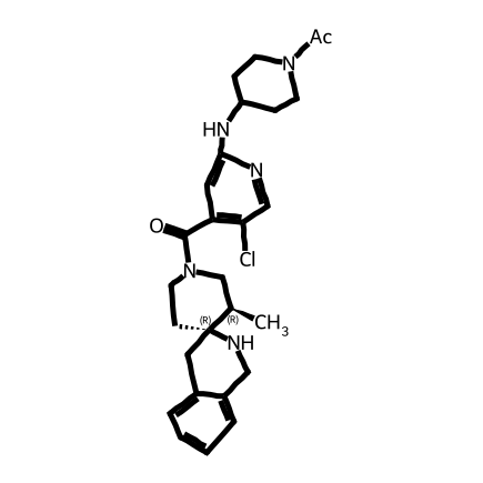 CC(=O)N1CCC(Nc2cc(C(=O)N3CC[C@]4(Cc5ccccc5CN4)[C@H](C)C3)c(Cl)cn2)CC1